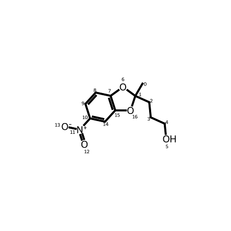 CC1(CCCO)Oc2ccc([N+](=O)[O-])cc2O1